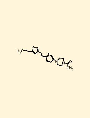 CCCc1cc(CCc2ccc(N3CCN(C(C)=O)CC3)cn2)cs1